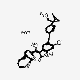 Cl.O=C1Nc2cc(Cl)c(-c3ccc(C4(CO)CC4)cc3)cc2/C1=C(\O)c1cc2cccnc2s1